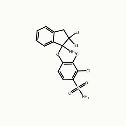 CCC1(CC)Cc2ccccc2C1(N)Oc1ccc(S(N)(=O)=O)c(Cl)c1Cl